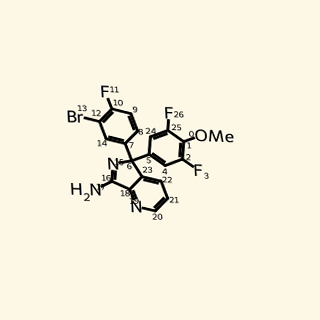 COc1c(F)cc(C2(c3ccc(F)c(Br)c3)N=C(N)c3ncccc32)cc1F